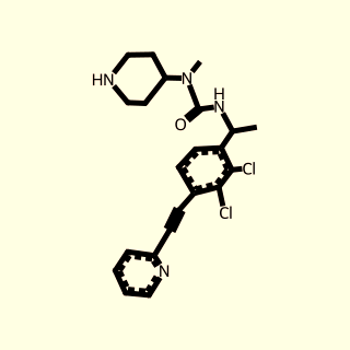 CC(NC(=O)N(C)C1CCNCC1)c1ccc(C#Cc2ccccn2)c(Cl)c1Cl